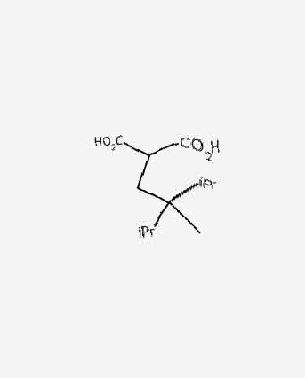 CC(C)C(C)(CC(C(=O)O)C(=O)O)C(C)C